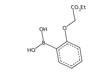 CCOC(=O)COc1ccccc1B(O)O